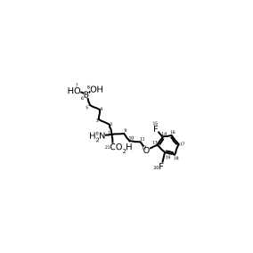 NC(CCCCB(O)O)(CCCOc1c(F)cccc1F)C(=O)O